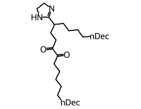 CCCCCCCCCCCCCCCC(=O)C(=O)CCC(CCCCCCCCCCCCCC)C1=NCCN1